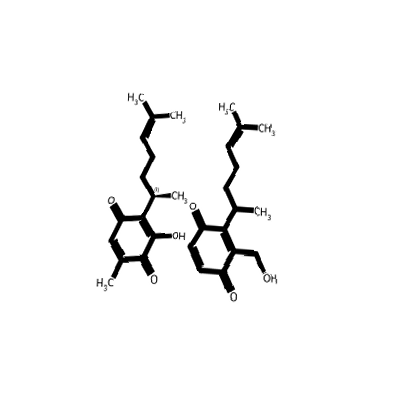 CC(C)=CCCC(C)C1=C(CO)C(=O)C=CC1=O.CC(C)=CCC[C@@H](C)C1=C(O)C(=O)C(C)=CC1=O